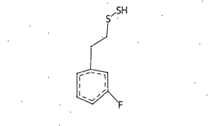 Fc1cccc(CCSS)c1